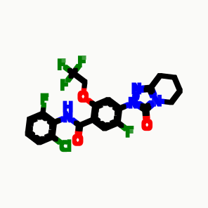 O=C(Nc1c(F)cccc1Cl)c1cc(F)c(-n2nc3n(c2=O)CCCC3)cc1OCC(F)(F)F